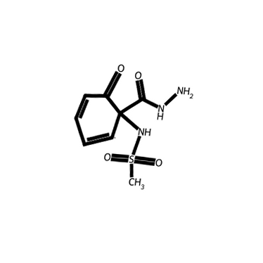 CS(=O)(=O)NC1(C(=O)NN)[C]=CC=CC1=O